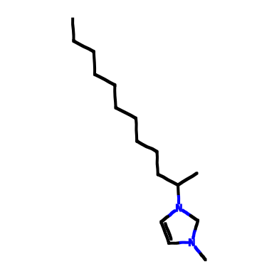 CCCCCCCCCCC(C)N1C=CN(C)C1